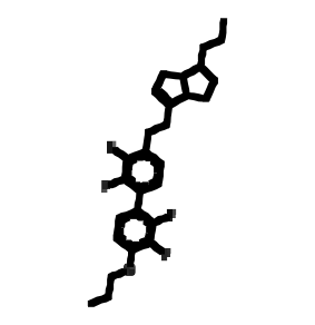 CCCOc1ccc(-c2ccc(CCC3=CCC4C(CCC)CCC34)c(F)c2F)c(F)c1F